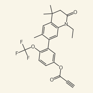 C#CC(=O)Oc1ccc(OC(F)(F)F)c(-c2cc3c(cc2C)C(C)(C)CC(=O)N3CC)c1